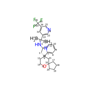 BC(B)(NCC[C@@]1(c2ccccn2)CCOC2(CCCC2)C1)c1cncc(C(F)(F)F)c1